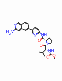 COC(=O)N[C@H](C(=O)N1CCC[C@H]1C(=O)Nc1ccc(-c2ccc3cnc(N)cc3c2)cn1)C(C)C